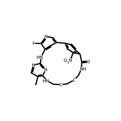 Cc1cnc2nc1NCCCCCNC(=O)c1ccc(cc1[N+](=O)[O-])-c1cnc(F)c(c1)N2